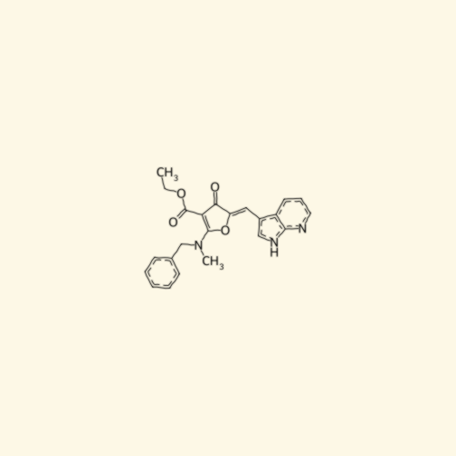 CCOC(=O)C1=C(N(C)Cc2ccccc2)OC(=Cc2c[nH]c3ncccc23)C1=O